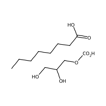 CCCCCCCC(=O)O.O=C(O)OCC(O)CO